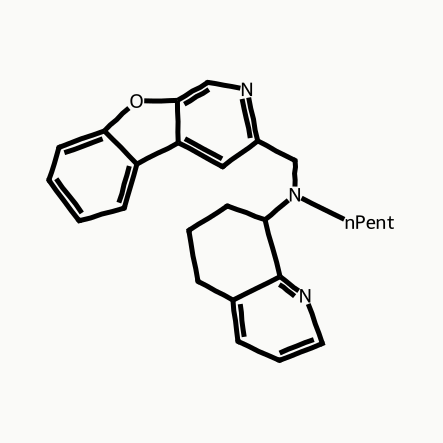 CCCCCN(Cc1cc2c(cn1)oc1ccccc12)C1CCCc2cccnc21